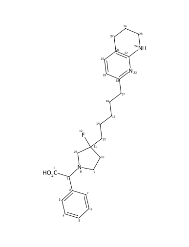 O=C(O)C(c1ccccc1)N1CCC(F)(CCCCCc2ccc3c(n2)NCCC3)C1